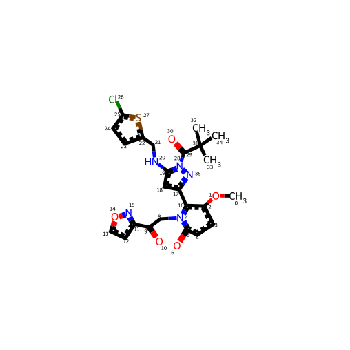 COc1ccc(=O)n(CC(=O)c2ccon2)c1-c1cc(NCc2ccc(Cl)s2)n(C(=O)C(C)(C)C)n1